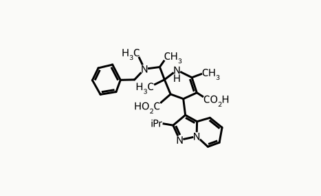 CC1=C(C(=O)O)C(c2c(C(C)C)nn3ccccc23)C(C(=O)O)C(C)(C(C)N(C)Cc2ccccc2)N1